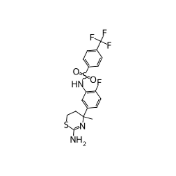 CC1(c2ccc(F)c(NS(=O)(=O)c3ccc(C(F)(F)F)cc3)c2)CCSC(N)=N1